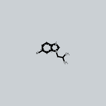 CC(C)Cn1cnc2ccc(Br)cc21